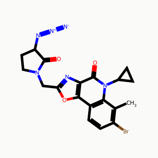 Cc1c(Br)ccc2c3oc(CN4CCC(N=[N+]=[N-])C4=O)nc3c(=O)n(C3CC3)c12